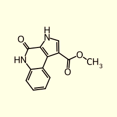 COC(=O)c1c[nH]c2c(=O)[nH]c3ccccc3c12